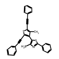 Bc1nc(-c2ccccc2)sc1-c1c(C#Cc2ccccc2)sc(C#Cc2ccccc2)c1C